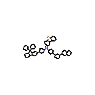 c1ccc(C2(c3ccccc3)c3ccccc3-c3ccc(-c4ccc(N(c5ccc(-c6cccc(-c7ccc8ccccc8c7)c6)cc5)c5ccc6sc7ccccc7c6c5)cc4)cc32)cc1